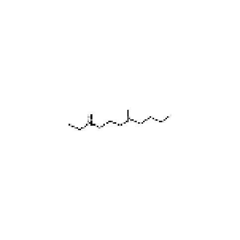 CCCCNCCCNCC